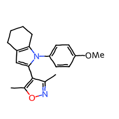 COc1ccc(-n2c(-c3c(C)noc3C)cc3c2CCCC3)cc1